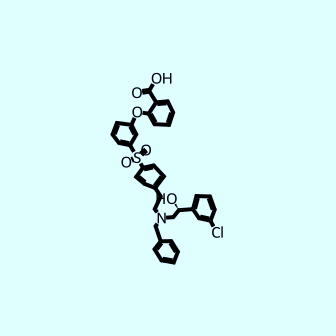 O=C(O)c1ccccc1Oc1cccc(S(=O)(=O)c2ccc(CCN(Cc3ccccc3)C[C@H](O)c3cccc(Cl)c3)cc2)c1